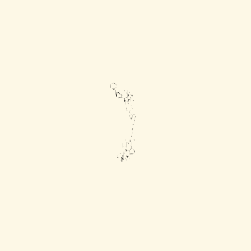 Nc1ncnc2c1c(-c1ccc(Oc3ccccc3)cc1)cn2[C@H]1CC[C@@H](N2CCN(CCOCCCNC(=O)CNc3cccc4c3C(=O)N(C3CCCNC3=O)C4=O)CC2)CC1